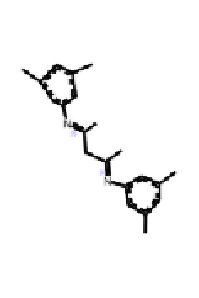 C/C(C/C(C)=N/c1cc(C)cc(C)c1)=N\c1cc(C)cc(C)c1